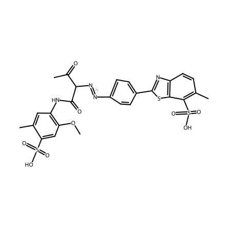 COc1cc(S(=O)(=O)O)c(C)cc1NC(=O)C(/N=N/c1ccc(-c2nc3ccc(C)c(S(=O)(=O)O)c3s2)cc1)C(C)=O